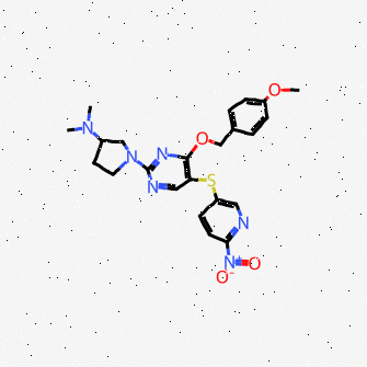 COc1ccc(COc2nc(N3CCC(N(C)C)C3)ncc2Sc2ccc([N+](=O)[O-])nc2)cc1